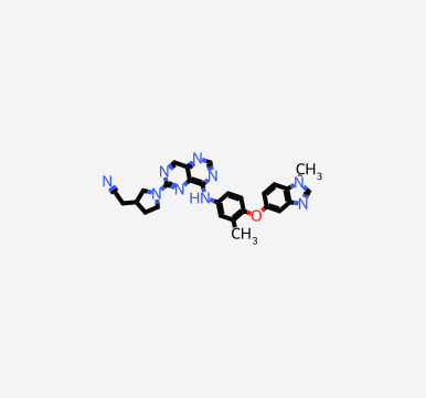 Cc1cc(Nc2ncnc3cnc(N4CCC(CC#N)C4)nc23)ccc1Oc1ccc2c(c1)ncn2C